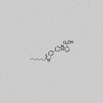 CCCCCCCC(=S)N(C)Cc1cccc(-c2ccc(Nc3ccccc3C(=O)O)cc2)c1